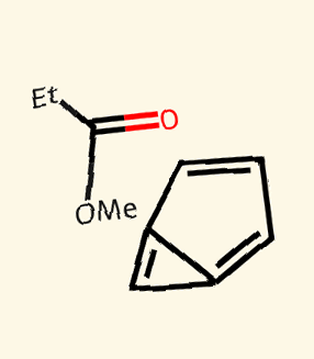 CCC(=O)OC.c1cc2cc-2c1